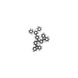 c1ccc(-c2cc(-c3ccccc3)cc(-c3ccc(N(c4cccc(-n5c6ccccc6c6ccccc65)c4)c4cccc(-n5c6ccccc6c6ccccc65)c4)cc3)c2)cc1